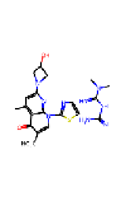 CN(C)C(=N)NC(=N)N.Cc1cc(N2CC(O)C2)nc2c1c(=O)c(C(=O)O)cn2-c1nccs1